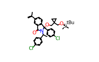 C=C(C)c1ccc2c(c1)C(=O)N(C(C)c1ccc(Cl)cc1)[C@@]2(OCC1(CO[Si](C)(C)C(C)(C)C)CC1)c1ccc(Cl)cc1